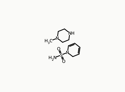 CN1CCNCC1.NS(=O)(=O)N1C=CC=CC1